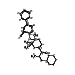 CC(CC1CCCCC1)C(=O)N1CCC(O)(Cn2cnc(-c3cncnc3)cc2=O)C(C)(C)C1